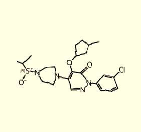 CC1CCC(Oc2c(N3CCN([S@@+]([O-])C(C)C)CC3)cnn(-c3cccc(Cl)c3)c2=O)C1